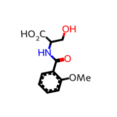 COc1ccccc1C(=O)NC(CO)C(=O)O